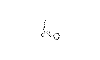 CCC=C(C)C(=O)OSc1ccccc1